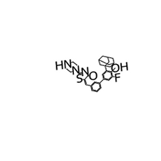 O=C1N=C(N2CCNCC2)SC1=Cc1cccc(-c2cc(F)c(O)c(C34CC5CC(CC(C5)C3)C4)c2)c1